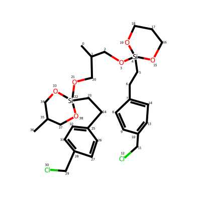 CC(CO[Si]1(CCc2ccc(CCl)cc2)OCCCO1)CO[Si]1(CCc2ccc(CCl)cc2)OCC(C)CO1